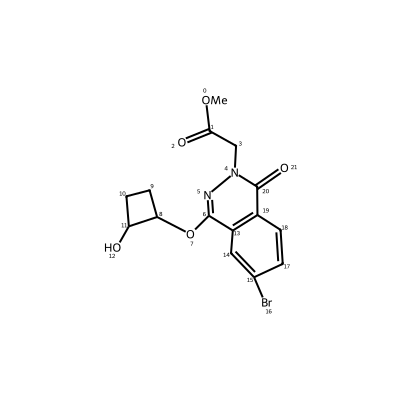 COC(=O)Cn1nc(OC2CCC2O)c2cc(Br)ccc2c1=O